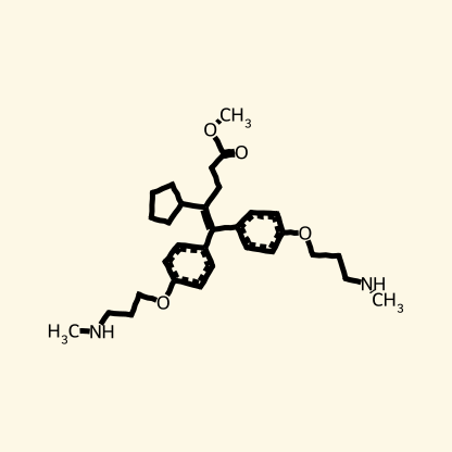 CNCCCOc1ccc(C(=C(CCC(=O)OC)C2CCCC2)c2ccc(OCCCNC)cc2)cc1